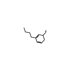 CCCCC1=CC(F)CC=C1